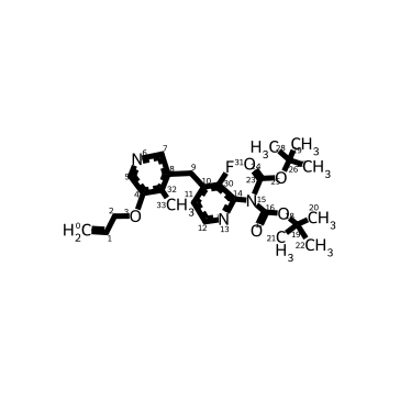 C=CCOc1cncc(Cc2ccnc(N(C(=O)OC(C)(C)C)C(=O)OC(C)(C)C)c2F)c1C